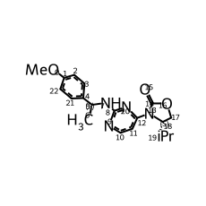 COc1ccc([C@H](C)Nc2nccc(N3C(=O)OC[C@@H]3C(C)C)n2)cc1